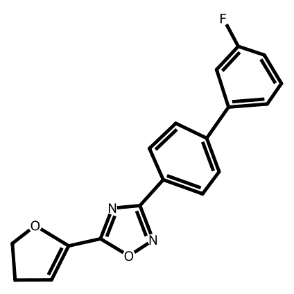 Fc1cccc(-c2ccc(-c3noc(C4=CCCO4)n3)cc2)c1